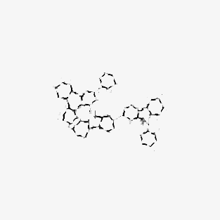 c1ccc(-c2cc(-n3c4ccccc4c4ccc(-c5ccc6c7ccccc7n(-c7ccccc7)c6c5)cc43)c3c4ccccc4c4ccccc4c3c2)cc1